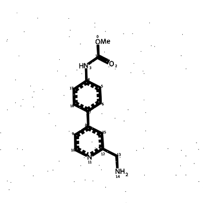 COC(=O)Nc1ccc(-c2ccnc(CN)c2)cc1